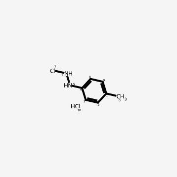 Cc1ccc(NNCl)cc1.Cl